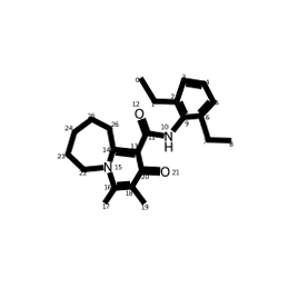 CCc1cccc(CC)c1NC(=O)c1c2n(c(C)c(C)c1=O)CCCCC2